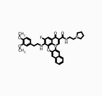 COc1ccc(CCNc2c(F)cc3c(=O)c(C(=O)NCCN4CCCC4)cn4c3c2Oc2cc3ccccc3cc2-4)cc1OC